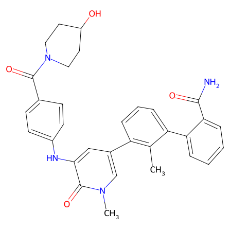 Cc1c(-c2cc(Nc3ccc(C(=O)N4CCC(O)CC4)cc3)c(=O)n(C)c2)cccc1-c1ccccc1C(N)=O